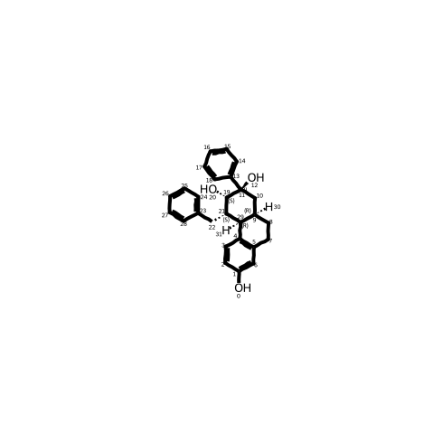 Oc1ccc2c(c1)CC[C@@H]1C[C@@](O)(c3ccccc3)[C@@H](O)[C@@H](Cc3ccccc3)[C@H]21